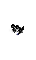 C/C=C/Cn1nc(C(C)CC)n(Cc2ccc(-c3ccccc3-c3nnn[nH]3)cc2)c1=O